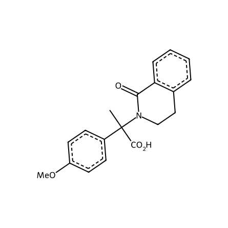 COc1ccc(C(C)(C(=O)O)N2CCc3ccccc3C2=O)cc1